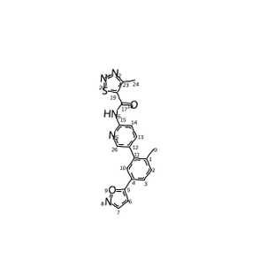 Cc1ccc(-c2ccno2)cc1-c1ccc(NC(=O)c2snnc2C)nc1